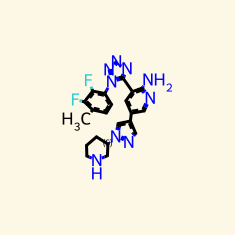 Cc1ccc(-n2nnnc2-c2cc(-c3cnn([C@H]4CCCNC4)c3)cnc2N)c(F)c1F